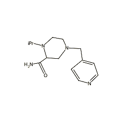 CC(C)N1CCN(Cc2ccncc2)CC1C(N)=O